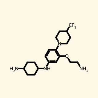 NCCOc1cc(NC2CCC(N)CC2)ccc1N1CCC(C(F)(F)F)CC1